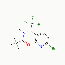 CN(C(=O)C(C)(C)C)[C@@H](c1ccc(Br)nc1)C(F)(F)F